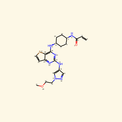 C=CC(=O)N[C@H]1CC[C@@H](Nc2nc(Nc3cnn(CCOC)c3)nc3ccsc23)CC1